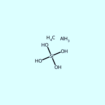 C.O[Si](O)(O)O.[AlH3]